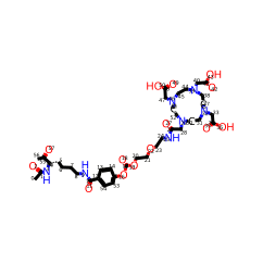 CC(=O)N[C@@H](CCCCNC(=O)c1ccc(OC(=O)OCCOCCNC(=O)CN2CCN(CC(=O)O)CCN(CC(=O)O)CCN(CC(=O)O)CC2)cc1)C(C)=O